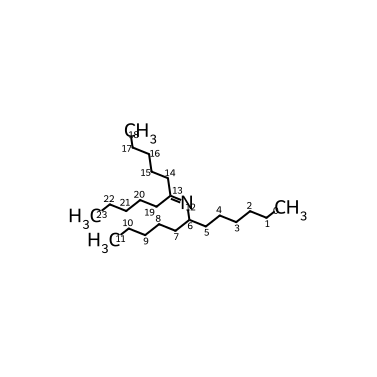 CCCCCCC(CCCCC)N=C(CCCCC)CCCCC